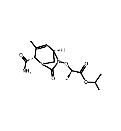 CC1=C[C@@H]2CN(C(=O)N2O[C@H](F)C(=O)OC(C)C)[C@@H]1C(N)=O